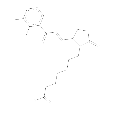 Cc1cccc(C(=O)/C=C/C2CCC(=O)C2CCCCCCC(=O)O)c1C